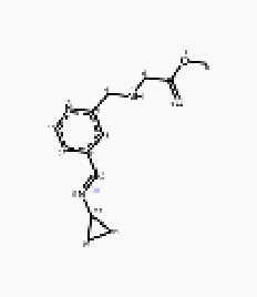 COC(=O)CNCc1cc(/C=N/C2CC2)ccn1